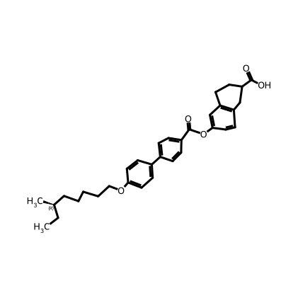 CC[C@@H](C)CCCCCOc1ccc(-c2ccc(C(=O)Oc3ccc4c(c3)CCC(C(=O)O)C4)cc2)cc1